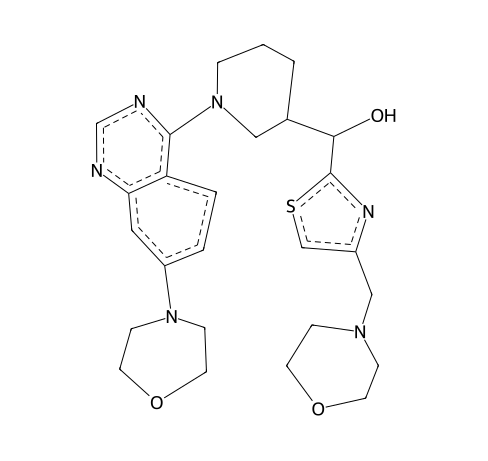 OC(c1nc(CN2CCOCC2)cs1)C1CCCN(c2ncnc3cc(N4CCOCC4)ccc23)C1